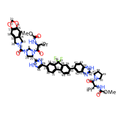 COC(=O)NC(C(=O)N1CN(C(=O)N2Cc3cc4c(cc3C2)OCO4)C[C@H]1c1nc(-c2ccc3c(c2)C(F)(F)c2cc(-c4ccc5[nH]c([C@@H]6CCCN6C(=O)[C@@H](NC(=O)OC)C(C)C)nc5c4)ccc2-3)c[nH]1)C(C)C